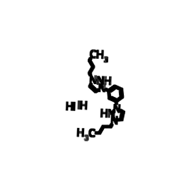 CCCCN1C=CN(c2cccc(N3C=CN(CCCC)N3)c2)N1.I.I